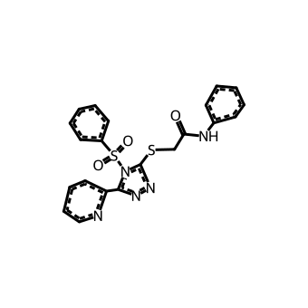 O=C(CSc1nnc(-c2ccccn2)n1S(=O)(=O)c1ccccc1)Nc1ccccc1